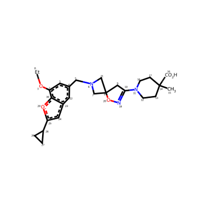 CCOc1cc(CN2CC3(CC(N4CCC(C)(C(=O)O)CC4)=NO3)C2)cc2cc(C3CC3)oc12